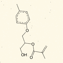 C=C(C)C(=O)OC(CO)COc1ccc(C)cc1